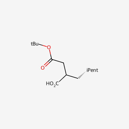 CCC[C@@H](C)CC(CC(=O)OC(C)(C)C)C(=O)O